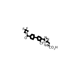 O=C(O)NCc1nnc(-c2ccc(-c3ccc(C(=O)N4CC(F)(F)C4)cc3)cc2C(F)(F)F)o1